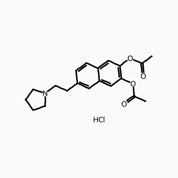 CC(=O)Oc1cc2ccc(CCN3CCCC3)cc2cc1OC(C)=O.Cl